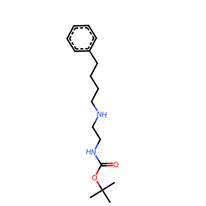 CC(C)(C)OC(=O)NCCNCCCCc1ccccc1